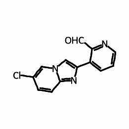 O=Cc1ncccc1-c1cn2cc(Cl)ccc2n1